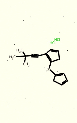 CC(C)(C)C#CC1=[C]([Zr][C]2=CC=CC2)CC=C1.Cl.Cl